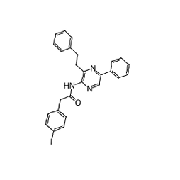 O=C(Cc1ccc(I)cc1)Nc1ncc(-c2ccccc2)nc1CCc1ccccc1